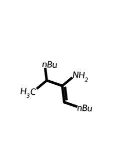 CCCC/C=C(\N)C(C)CCCC